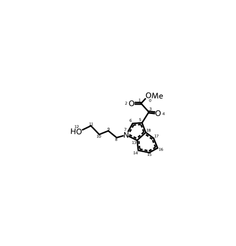 COC(=O)C(=O)c1cn(CCCCO)c2ccccc12